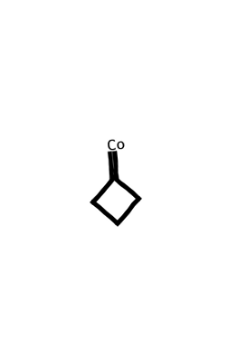 [Co]=[C]1CCC1